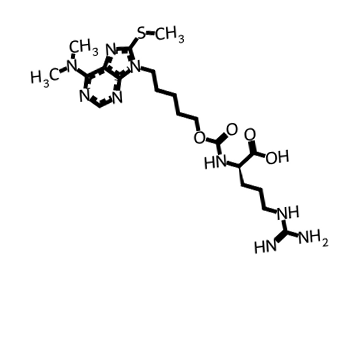 CSc1nc2c(N(C)C)ncnc2n1CCCCCOC(=O)N[C@H](CCCNC(=N)N)C(=O)O